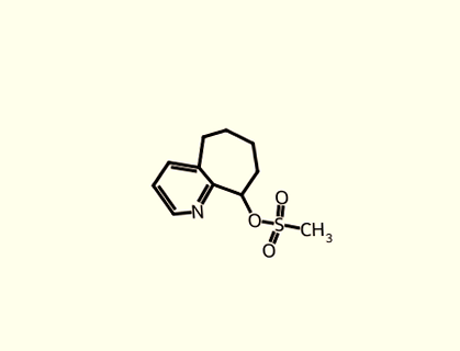 CS(=O)(=O)OC1CCCCc2cccnc21